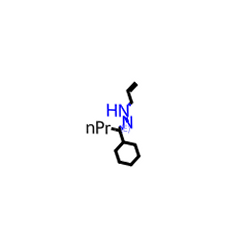 C=CCN/N=C(\CCC)C1CCCCC1